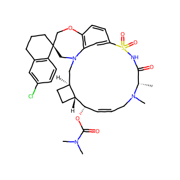 C[C@H]1C(=O)NS(=O)(=O)c2ccc3c(c2)N(C[C@@H]2CC[C@H]2[C@@H](OC(=O)N(C)C)C=CCN1C)C[C@@]1(CCCc2cc(Cl)ccc21)CO3